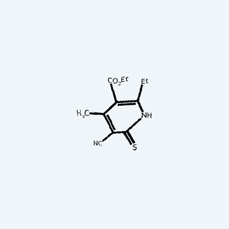 CCOC(=O)c1c(CC)[nH]c(=S)c(C#N)c1C